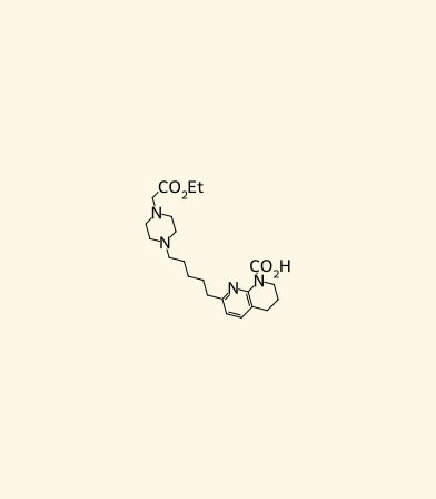 CCOC(=O)CN1CCN(CCCCCc2ccc3c(n2)N(C(=O)O)CCC3)CC1